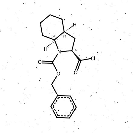 O=C(Cl)[C@@H]1C[C@@H]2CCCC[C@@H]2N1C(=O)OCc1ccccc1